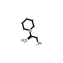 C=C(CC(C)C)N1CCCCC1